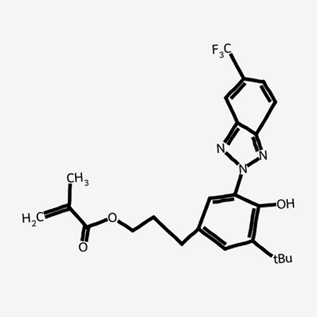 C=C(C)C(=O)OCCCc1cc(-n2nc3ccc(C(F)(F)F)cc3n2)c(O)c(C(C)(C)C)c1